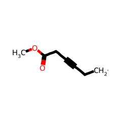 [CH2]CC#CCC(=O)OC